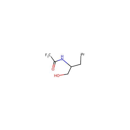 CC(C)CC(CO)NC(=O)C(F)(F)F